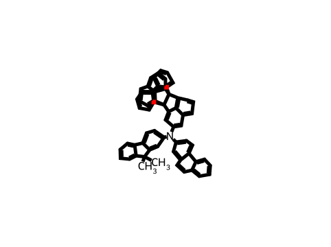 CC1(C)c2ccccc2-c2ccc(N(c3cc4c5c(cccc5c3)C35c6ccccc6-c6ccccc6C43c3cccc4cccc5c34)c3ccc4c(ccc5ccccc54)c3)cc21